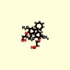 Cc1cc(C2(c3cc(C)c(OCCO)c(C)c3)CCCCCC2)cc(C)c1OCCO